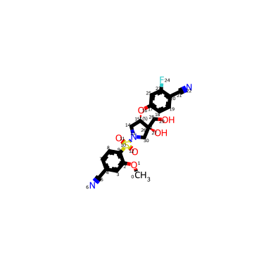 COc1cc(C#N)ccc1S(=O)(=O)N1C[C@H](Oc2ccc(C#N)c(F)c2)[C@](O)(CO)C1